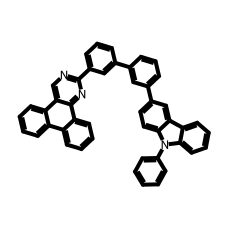 c1ccc(-n2c3ccccc3c3cc(-c4cccc(-c5cccc(-c6ncc7c8ccccc8c8ccccc8c7n6)c5)c4)ccc32)cc1